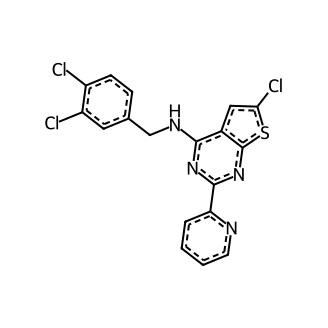 Clc1cc2c(NCc3ccc(Cl)c(Cl)c3)nc(-c3ccccn3)nc2s1